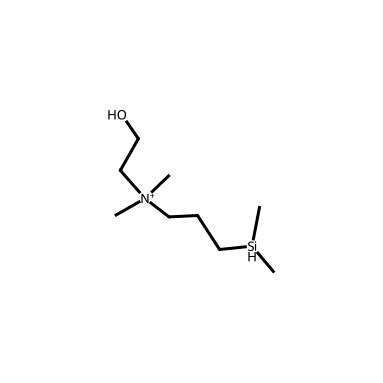 C[SiH](C)CCC[N+](C)(C)CCO